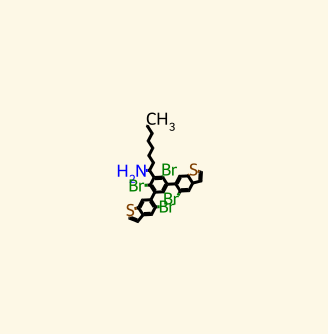 CCCCCCCC(N)c1c(Br)c(C2=CC3SC=CC3C=C2Br)cc(-c2cc3sccc3cc2Br)c1Br